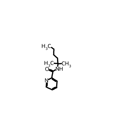 CCCCC(C)(C)NC(=O)c1ccccn1